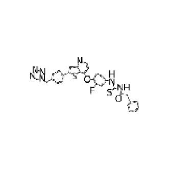 O=C(Cc1ccccc1)NC(=S)Nc1ccc(Oc2ccnc3cc(-c4ccc(Cn5cnnn5)cc4)sc23)c(F)c1